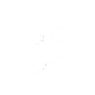 Cc1ccccc1[SiH]1CCCCO1.Cc1ccccc1[SiH]1CCCCO1